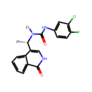 CCN(C(=O)Nc1ccc(F)c(Cl)c1)[C@H](c1c[nH]c(=O)c2ccccc12)C(C)C